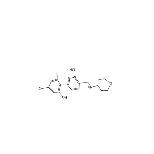 Cl.Oc1cc(Cl)cc(F)c1-c1ccc(CNC2CCOCC2)nn1